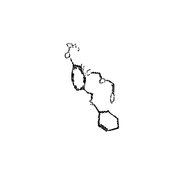 CCOC=O.COc1ccc(CSC2C=CCCC2)cc1